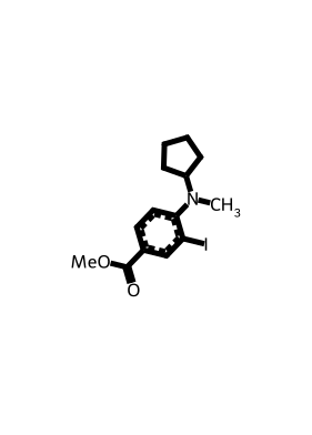 COC(=O)c1ccc(N(C)C2CCCC2)c(I)c1